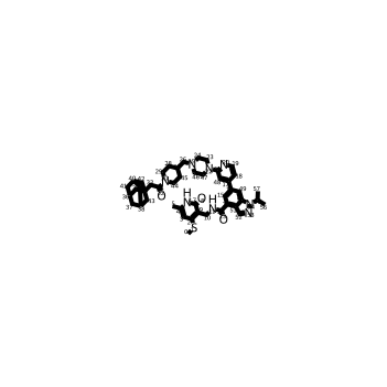 CSc1cc(C)[nH]c(=O)c1CNC(=O)c1cc(-c2ccnc(N3CCN(CC4CCN(C(=O)CC56CC7CC(CC(C7)C5)C6)CC4)CC3)c2)cc2c1cnn2C(C)C